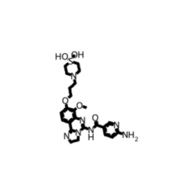 COc1c(OCCCN2CCS(O)(O)CC2)ccc2c1N=C(NC(=O)c1ccc(N)nc1)N1CCN=C21